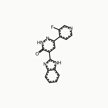 O=c1[nH]nc(-c2ccncc2F)cc1-c1nc2ccccc2[nH]1